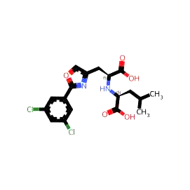 CC(C)C[C@H](N[C@@H](Cc1coc(-c2cc(Cl)cc(Cl)c2)n1)C(=O)O)C(=O)O